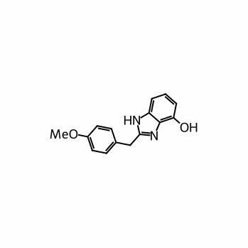 COc1ccc(Cc2nc3c(O)cccc3[nH]2)cc1